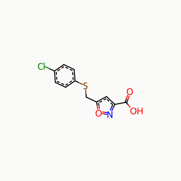 O=C(O)c1cc(CSc2ccc(Cl)cc2)on1